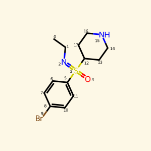 CCN=S(=O)(c1ccc(Br)cc1)C1CCNCC1